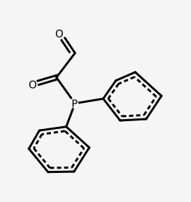 O=CC(=O)P(c1ccccc1)c1ccccc1